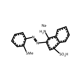 CSc1ccccc1N=Nc1cc(S(=O)(=O)O)c2ccccc2c1N.[Na]